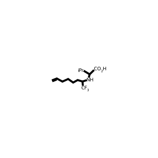 C=CCCCCC(NC(C(=O)O)C(C)C)C(F)(F)F